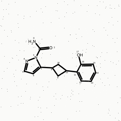 NC(=O)n1n[c]cc1C1CC(c2ccccc2O)C1